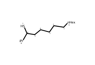 CCCCCCCCCCCC(S)C(C)C